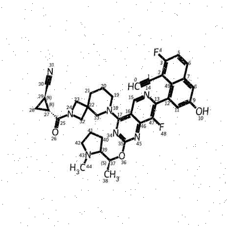 C#Cc1c(F)ccc2cc(O)cc(-c3ncc4c(N5CCCC6(CN(C(=O)[C@@H]7C[C@H]7C#N)C6)C5)nc(O[C@@H](C)C5CCCN5C)nc4c3F)c12